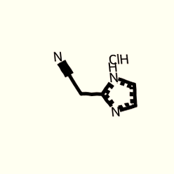 Cl.N#CCc1ncc[nH]1